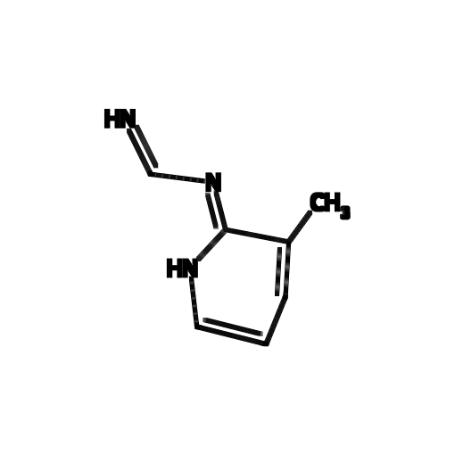 Cc1ccc[nH]/c1=N\C=N